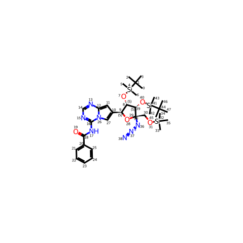 CC(C)(C)[Si](C)(C)O[C@H]1[C@H](c2cc3ncnc(NC(=O)c4ccccc4)n3c2)O[C@@](CO[Si](C)(C)C)(N=[N+]=[N-])[C@H]1O[Si](C)(C)C(C)(C)C